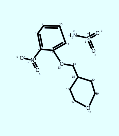 N[SH](=O)=O.O=[N+]([O-])c1ccccc1OCC1CCOCC1